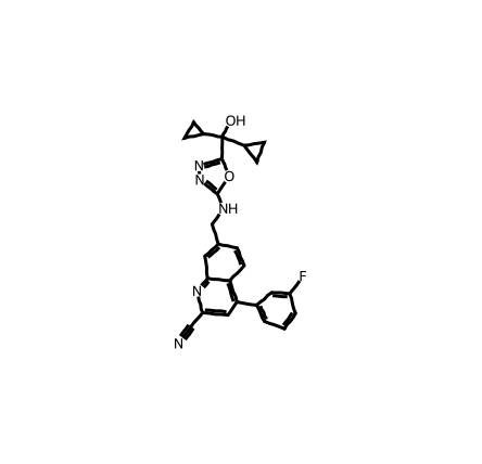 N#Cc1cc(-c2cccc(F)c2)c2ccc(CNc3nnc(C(O)(C4CC4)C4CC4)o3)cc2n1